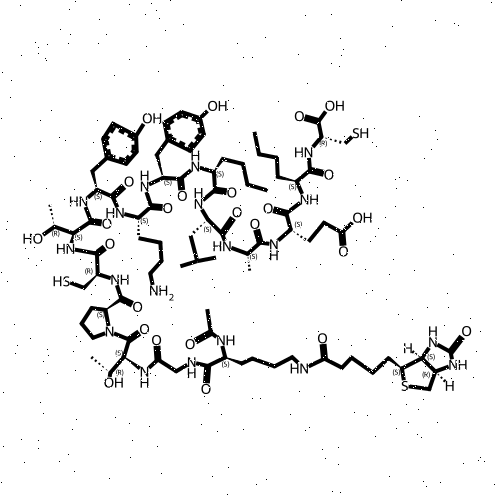 CCCC[C@H](NC(=O)[C@H](CCC(=O)O)NC(=O)[C@H](C)NC(=O)[C@H](CC(C)C)NC(=O)[C@H](CCCC)NC(=O)[C@H](Cc1ccc(O)cc1)NC(=O)[C@H](CCCCN)NC(=O)[C@H](Cc1ccc(O)cc1)NC(=O)[C@@H](NC(=O)[C@H](CS)NC(=O)[C@@H]1CCCN1C(=O)[C@@H](NC(=O)CNC(=O)[C@H](CCCCNC(=O)CCCC[C@@H]1SC[C@@H]2NC(=O)N[C@@H]21)NC(C)=O)[C@@H](C)O)[C@@H](C)O)C(=O)N[C@@H](CS)C(=O)O